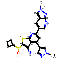 Cn1cc(-c2cc(-c3cnc4nn(C)cc4c3)nc3sc([S+]([O-])C4CCC4)c(N)c23)cn1